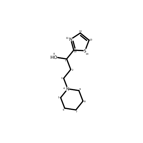 OC(CCN1CCCCC1)c1nccs1